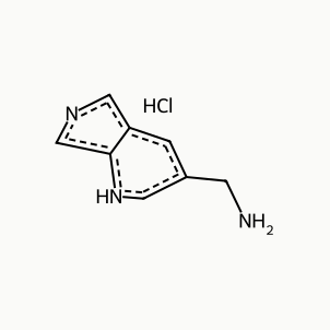 Cl.NCc1c[nH]c2cncc-2c1